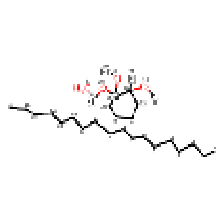 CCCCCCCCCCCCCCCCCC.CCOC1(CC)CCCC[Si]1(OCC)OCC.O